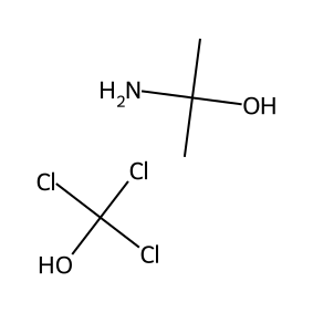 CC(C)(N)O.OC(Cl)(Cl)Cl